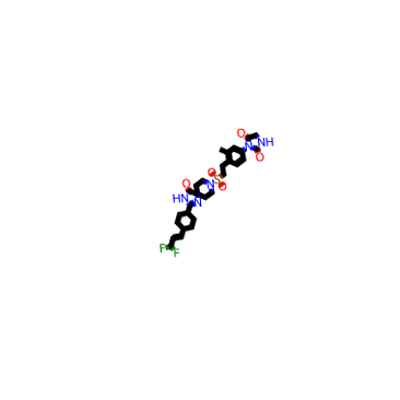 Cc1cc(N2C(=O)CNC2=O)ccc1CCS(=O)(=O)N1CCC2(CC1)N=C(C1CCC(C=CC(F)F)CC1)NC2=O